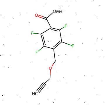 C#CCOCc1c(F)c(F)c(C(=O)OC)c(F)c1F